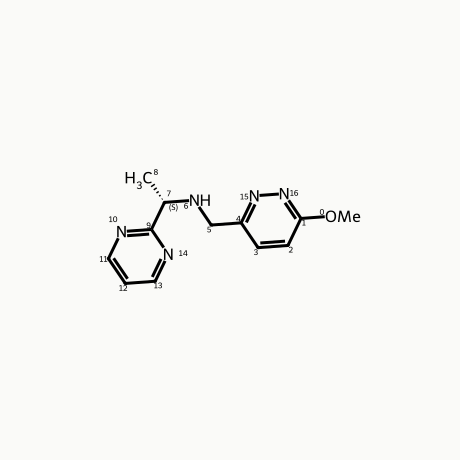 COc1ccc(CN[C@@H](C)c2ncccn2)nn1